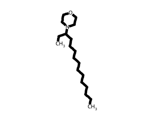 C[CH]C(CCCCCCCCCCCC)N1CCOCC1